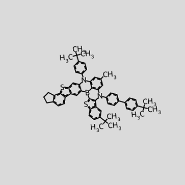 Cc1cc2c3c(c1)N(c1ccc(-c4ccc(C(C)(C)C)cc4)cc1)c1c(sc4ccc(C(C)(C)C)cc14)B3c1cc3c(cc1N2c1ccc(C(C)(C)C)cc1)sc1c2c(ccc13)CCC2